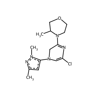 Cc1cc(N2C=C(Cl)N=C(N3CCOCC3C)C2)n(C)n1